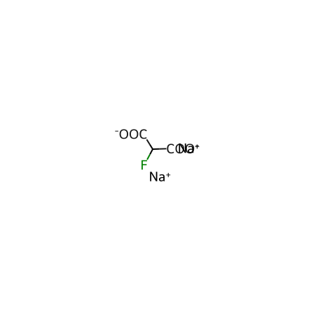 O=C([O-])C(F)C(=O)[O-].[Na+].[Na+]